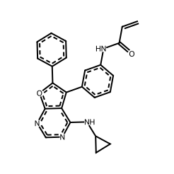 C=CC(=O)Nc1cccc(-c2c(-c3ccccc3)oc3ncnc(NC4CC4)c23)c1